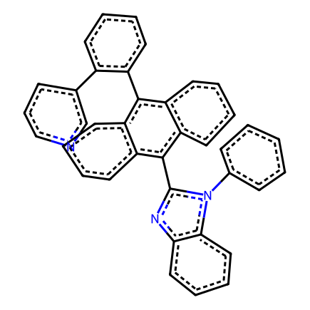 c1ccc(-n2c(-c3c4ccccc4c(-c4ccccc4-c4cccnc4)c4ccccc34)nc3ccccc32)cc1